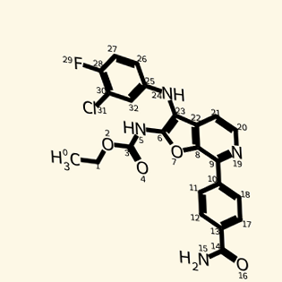 CCOC(=O)Nc1oc2c(-c3ccc(C(N)=O)cc3)nccc2c1Nc1ccc(F)c(Cl)c1